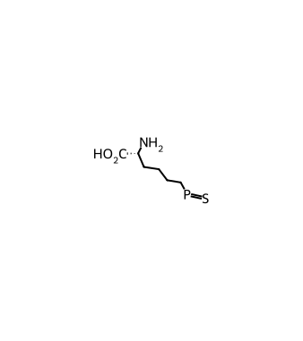 N[C@H](CCCCP=S)C(=O)O